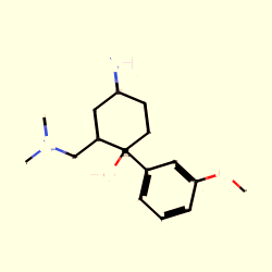 COc1cccc(C2(O)CCC(N)CC2CN(C)C)c1